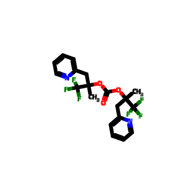 CC(Cc1ccccn1)(OC(=O)OC(C)(Cc1ccccn1)C(F)(F)F)C(F)(F)F